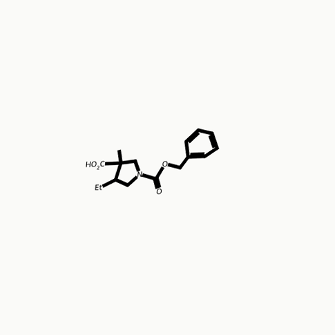 CCC1CN(C(=O)OCc2ccccc2)CC1(C)C(=O)O